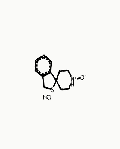 Cl.[O-][NH+]1CCC2(CC1)SCc1ccccc12